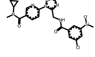 CN(C(=O)c1ccc(-n2ncnc2CNC(=O)c2cc(Cl)cc([S+](C)[O-])c2)nc1)C1CC1